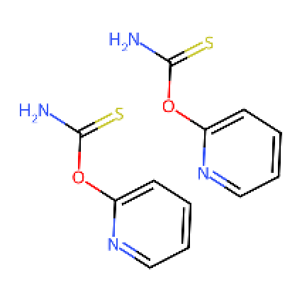 NC(=S)Oc1ccccn1.NC(=S)Oc1ccccn1